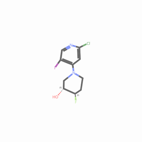 O[C@@H]1CN(c2cc(Cl)ncc2I)CC[C@H]1F